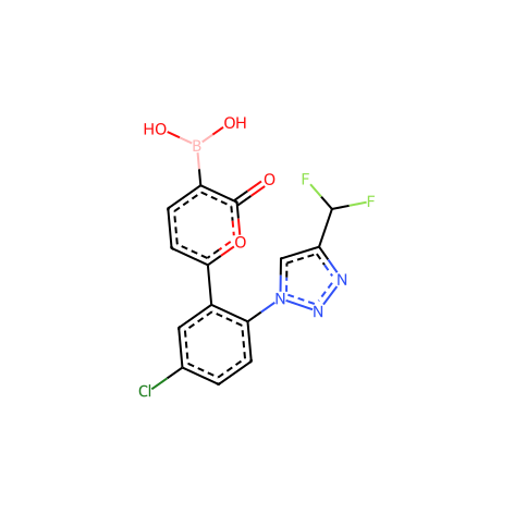 O=c1oc(-c2cc(Cl)ccc2-n2cc(C(F)F)nn2)ccc1B(O)O